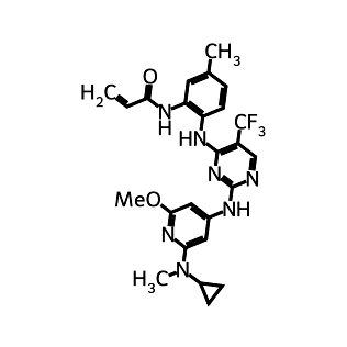 C=CC(=O)Nc1cc(C)ccc1Nc1nc(Nc2cc(OC)nc(N(C)C3CC3)c2)ncc1C(F)(F)F